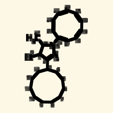 CCC1C(C2CCCCCCCCCC2)=NN(c2ccccccccc2)C1C